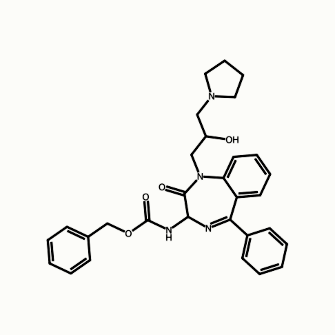 O=C(NC1N=C(c2ccccc2)c2ccccc2N(CC(O)CN2CCCC2)C1=O)OCc1ccccc1